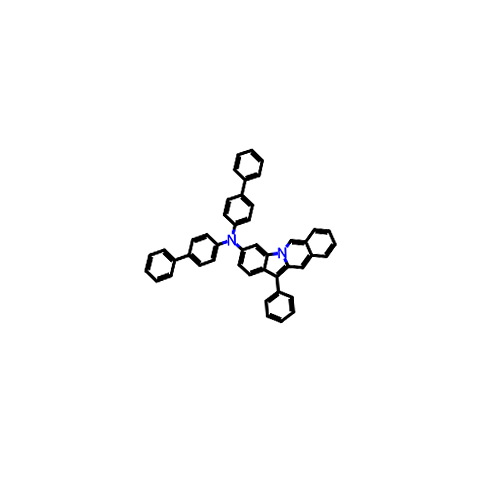 c1ccc(-c2ccc(N(c3ccc(-c4ccccc4)cc3)c3ccc4c(-c5ccccc5)c5cc6ccccc6cn5c4c3)cc2)cc1